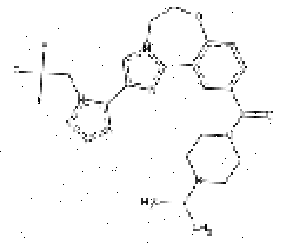 CC(C)N1CCN(C(=O)c2ccc3c(c2)-c2nc(-c4ncnn4CC(F)(F)F)cn2CCO3)CC1